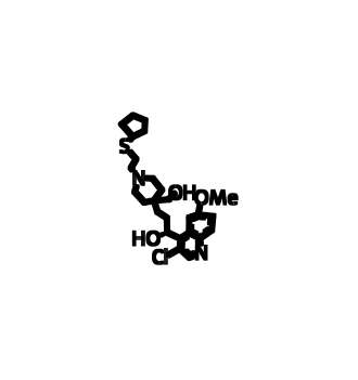 COc1ccc2ncc(Cl)c([C@@H](O)CCC3(CO)CCN(CCSC4CCCC4)CC3)c2c1